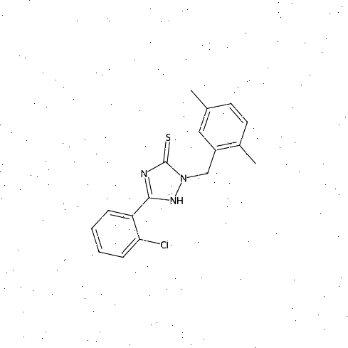 Cc1ccc(C)c(Cn2[nH]c(-c3ccccc3Cl)nc2=S)c1